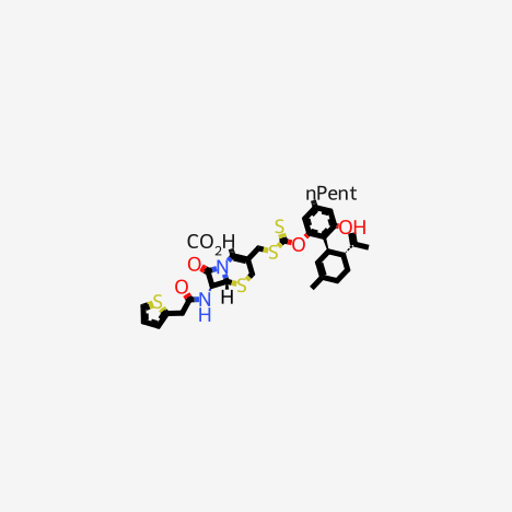 C=C(C)[C@@H]1CCC(C)=C[C@H]1c1c(O)cc(CCCCC)cc1OC(=S)SCC1=C(C(=O)O)N2C(=O)[C@@H](NC(=O)Cc3cccs3)[C@H]2SC1